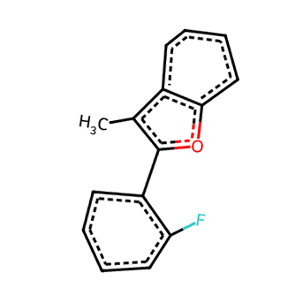 Cc1c(-c2ccccc2F)oc2ccccc12